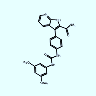 COc1cc(NC(=O)Nc2ccc(-c3c(C(N)=O)[nH]c4ncccc34)cc2)cc(OC)c1